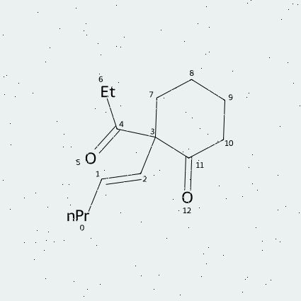 CCCC=CC1(C(=O)CC)CCCCC1=O